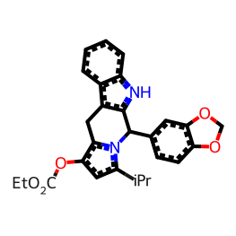 CCOC(=O)Oc1cc(C(C)C)n2c1Cc1c([nH]c3ccccc13)C2c1ccc2c(c1)OCO2